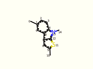 Cc1ccc2c(c1)c1cc(C)sc1n2C